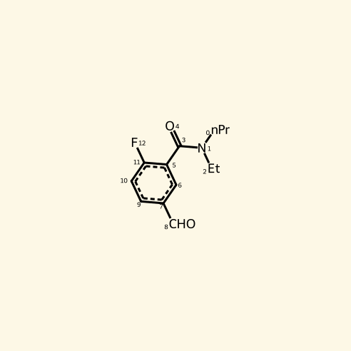 CCCN(CC)C(=O)c1cc(C=O)ccc1F